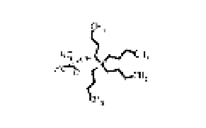 CCCC[N+](CCCC)(CCCC)CCCC.[O-][Si](O)(O)O